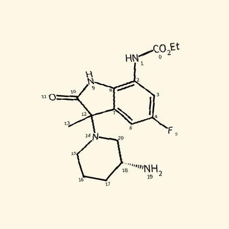 CCOC(=O)Nc1cc(F)cc2c1NC(=O)C2(C)N1CCC[C@@H](N)C1